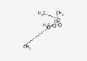 CCCCCCCCCCCCCCCCCCOC(C)c1ccc(-c2ccccc2C(=O)OC(CCC)CCCCCCCC)cc1